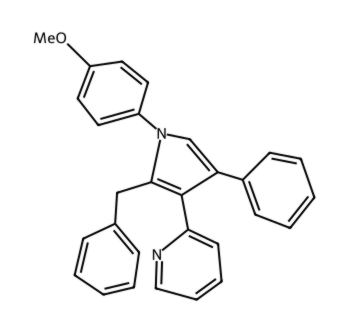 COc1ccc(-n2cc(-c3ccccc3)c(-c3ccccn3)c2Cc2ccccc2)cc1